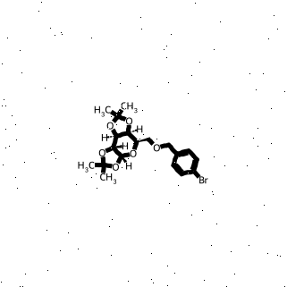 CC1(C)O[C@H]2[C@@H](O1)[C@@H](COCc1ccc(Br)cc1)O[C@@H]1OC(C)(C)O[C@@H]12